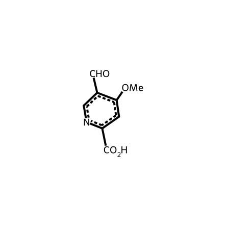 COc1cc(C(=O)O)ncc1C=O